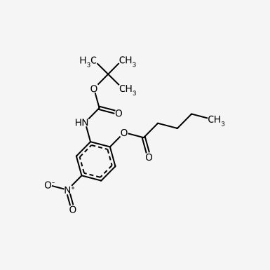 CCCCC(=O)Oc1ccc([N+](=O)[O-])cc1NC(=O)OC(C)(C)C